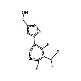 OCc1cn(-c2ccc(F)c(C(F)F)c2F)nn1